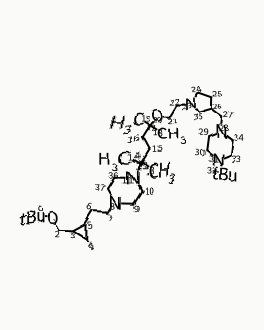 CC(C)(C)OCC1CC1CCN1CCN(C(C)(C)CCC(C)(C)OCCN2CCC(CN3CCN(C(C)(C)C)CC3)C2)CC1